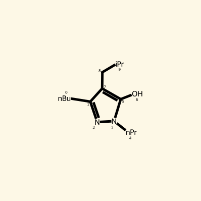 CCCCc1nn(CCC)c(O)c1CC(C)C